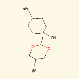 CCCC1CCC(C#N)(C2OCC(CCC)CO2)CC1